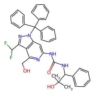 CC(C)(O)C(NC(=O)Nc1cc2c(c(CO)n1)c(C(F)F)nn2C(c1ccccc1)(c1ccccc1)c1ccccc1)c1ccccc1